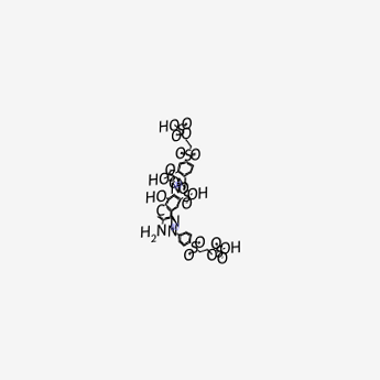 Nc1ccc2c(O)c(/N=N/c3ccc(S(=O)(=O)CCOS(=O)(=O)O)cc3S(=O)(=O)O)c(S(=O)(=O)O)cc2c1/N=N/c1ccc(S(=O)(=O)CCOS(=O)(=O)O)cc1